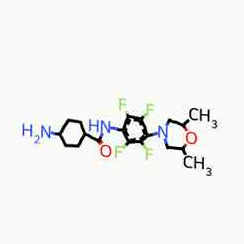 CC1CN(c2c(F)c(F)c(NC(=O)C3CCC(N)CC3)c(F)c2F)CC(C)O1